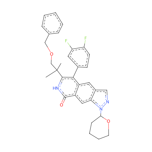 CC(C)(COCc1ccccc1)c1[nH]c(=O)c2cc3c(cnn3C3CCCCO3)cc2c1-c1ccc(F)c(F)c1